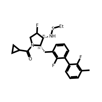 CCSN[C@H]1C(F)CN(C(=O)C2CC2)[C@H]1Cc1cccc(-c2cccc(C)c2F)c1F